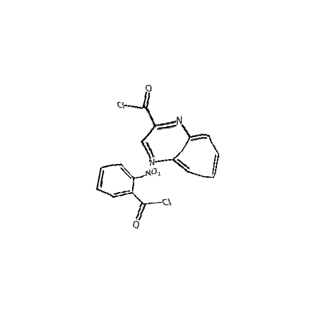 O=C(Cl)c1ccccc1[N+](=O)[O-].O=C(Cl)c1cnc2ccccc2n1